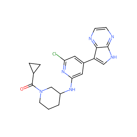 O=C(C1CC1)N1CCCC(Nc2cc(-c3c[nH]c4nccnc34)cc(Cl)n2)C1